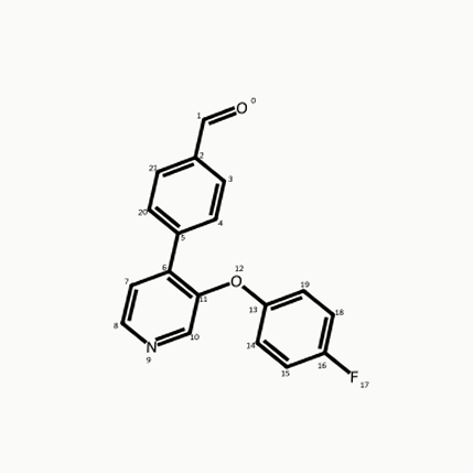 O=Cc1ccc(-c2ccncc2Oc2ccc(F)cc2)cc1